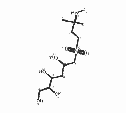 CC(C)(CCS(=O)(=O)CC(O)CC(O)C(O)CO)NCl